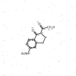 CC(=O)Nc1ccc2c(c1)CCC(C(=O)C(=O)O)C2=O